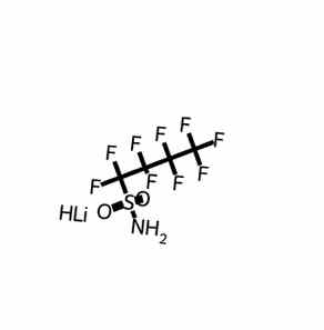 NS(=O)(=O)C(F)(F)C(F)(F)C(F)(F)C(F)(F)F.[LiH]